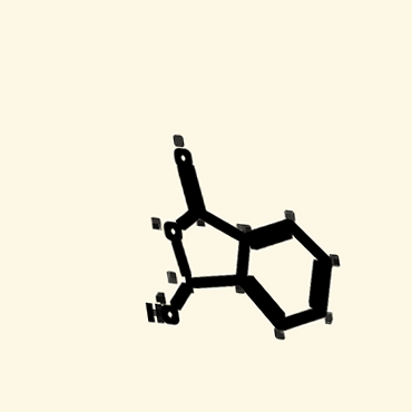 O=C1OI(O)c2ccccc21